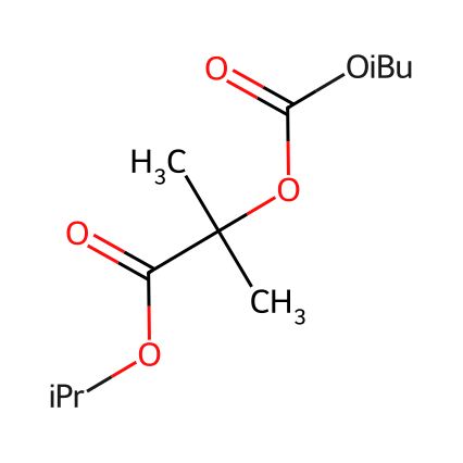 CC(C)COC(=O)OC(C)(C)C(=O)OC(C)C